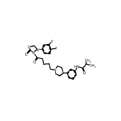 CC(C)C(=O)Nc1cccc(C2CCN(CCCCC(=O)N3C(=O)OC[C@H]3c3ccc(F)c(F)c3)CC2)c1